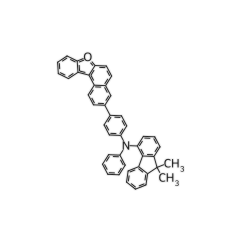 CC1(C)c2ccccc2-c2c(N(c3ccccc3)c3ccc(-c4ccc5c(ccc6oc7ccccc7c65)c4)cc3)cccc21